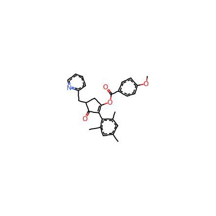 COc1ccc(C(=O)OC2=C(c3c(C)cc(C)cc3C)C(=O)C(Cc3ccccn3)C2)cc1